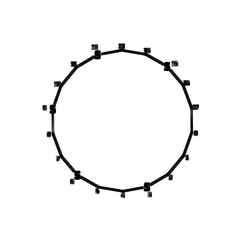 C1CCSCCSCCSCCSCCSCC1